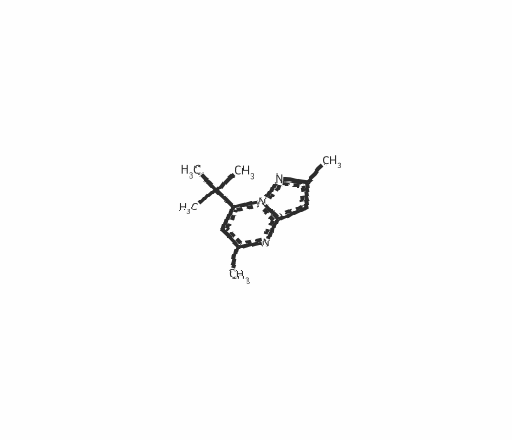 Cc1cc(C(C)(C)C)n2nc(C)cc2n1